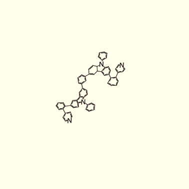 C1=CC2C(C=C1c1cccc(-c3ccc4c(c3)c3cc(-c5ccccc5-c5ccncc5)ccc3n4-c3ccccc3)c1)c1cc(-c3ccccc3-c3ccncc3)ccc1N2c1ccccc1